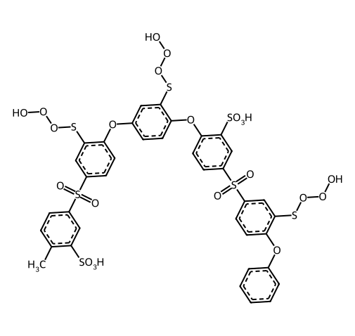 Cc1ccc(S(=O)(=O)c2ccc(Oc3ccc(Oc4ccc(S(=O)(=O)c5ccc(Oc6ccccc6)c(SOOO)c5)cc4S(=O)(=O)O)c(SOOO)c3)c(SOOO)c2)cc1S(=O)(=O)O